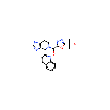 CC(C)(O)c1nnc(C(=O)N2CCc3[nH]cnc3[C@H]2c2ccc3ccccc3n2)o1